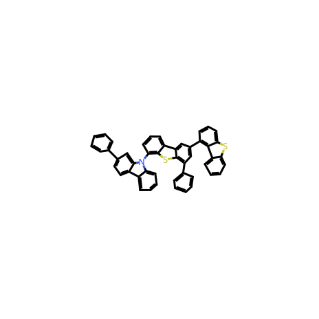 c1ccc(-c2ccc3c4ccccc4n(-c4cccc5c4sc4c(-c6ccccc6)cc(-c6cccc7sc8ccccc8c67)cc45)c3c2)cc1